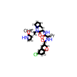 CC(C)C(NC(=O)C1=Cc2cc(Cl)ccc2OC1)C(=O)N[C@@H](CC1CCCC1)C(=O)N[C@H](C=O)C[C@@H]1CCNC1=O